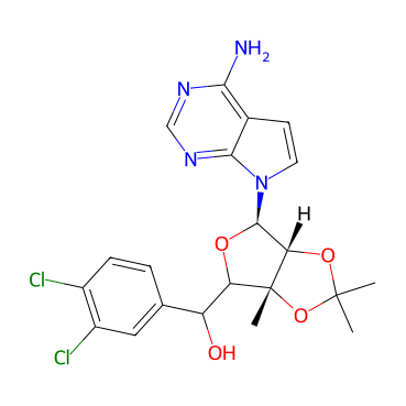 CC1(C)O[C@H]2[C@H](n3ccc4c(N)ncnc43)OC(C(O)c3ccc(Cl)c(Cl)c3)[C@@]2(C)O1